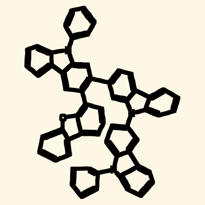 c1ccc(-n2c3ccccc3c3cc(-n4c5ccccc5c5ccc(-c6cc7c(cc6-c6cccc8c6oc6ccccc68)c6ccccc6n7-c6ccccc6)cc54)ccc32)cc1